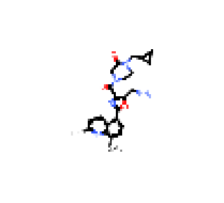 COc1ccc(-c2nc(C(=O)N3CCN(CC4CC4)C(=O)C3)c(CN)o2)c2ccc(C(F)(F)F)nc12